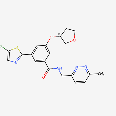 Cc1ccc(CNC(=O)c2cc(O[C@@H]3CCOC3)cc(-c3ncc(Cl)s3)c2)nn1